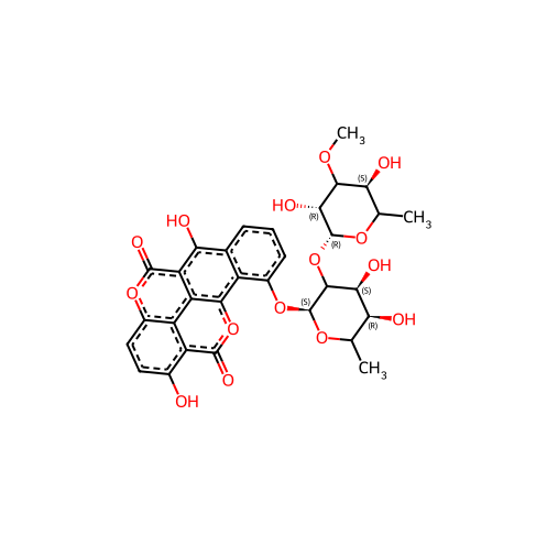 COC1[C@@H](O)C(C)O[C@H](OC2[C@H](Oc3cccc4c(O)c5c(=O)oc6ccc(O)c7c(=O)oc(c34)c5c67)OC(C)[C@H](O)[C@@H]2O)[C@@H]1O